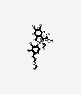 CCOCCc1ccc(OCC2=C(C(=NOC)C(=O)OC)CC(C)=C(C)C2)c(C)c1C